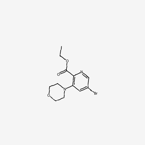 CCOC(=O)c1ncc(Br)cc1N1CCOCC1